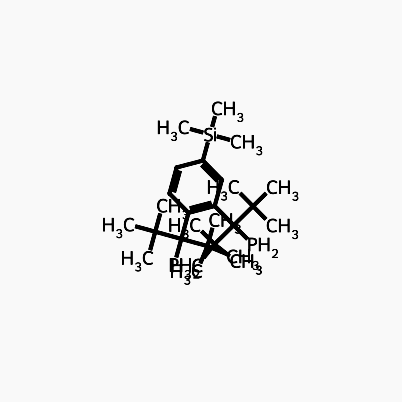 CC(C)(C)C(P)(c1ccc([Si](C)(C)C)cc1C(P)(C(C)(C)C)C(C)(C)C)C(C)(C)C